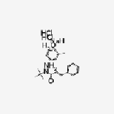 CC(C)(C)N(N)C(=O)C=Cc1ccccc1.Cc1ccccc1.Cl.Cl.O.[NaH]